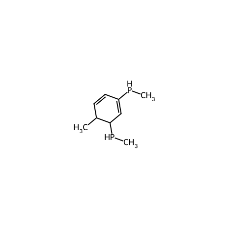 CPC1=CC(PC)C(C)C=C1